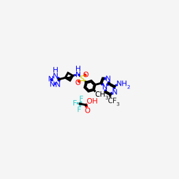 Cc1ccc(S(=O)(=O)NC23CC(c4nnn[nH]4)(C2)C3)cc1-c1cnc2c(N)nc(C(F)(F)F)cn12.O=C(O)C(F)(F)F